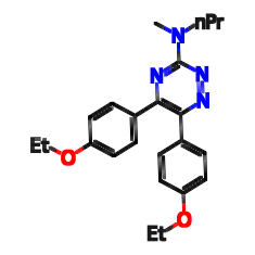 CCCN(C)c1nnc(-c2ccc(OCC)cc2)c(-c2ccc(OCC)cc2)n1